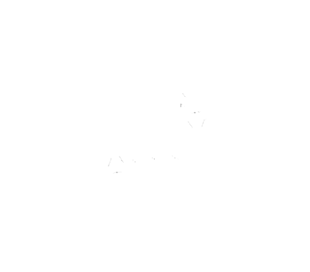 O=C1CCc2ccc(OCCCCN3CCN(c4cccc(Cl)c4Cl)CC3)cc2N1.[NaH]